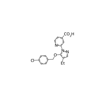 CCc1cnn(-c2cc(C(=O)O)ccn2)c1OCc1ccc(Cl)cc1